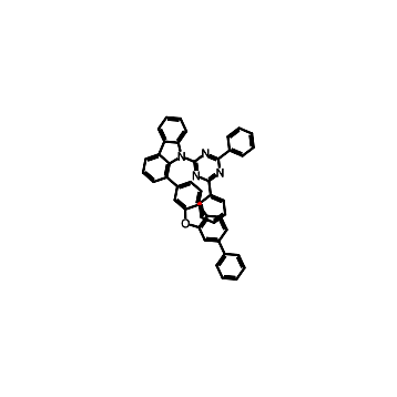 c1ccc(-c2ccc3c(c2)oc2cc(-c4cccc5c6ccccc6n(-c6nc(-c7ccccc7)nc(-c7ccccc7)n6)c45)ccc23)cc1